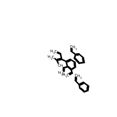 C=CC(=C(C)C)c1cccc(C=C)c1C=C.C=Cc1ccccc1.C=Cc1ccccc1